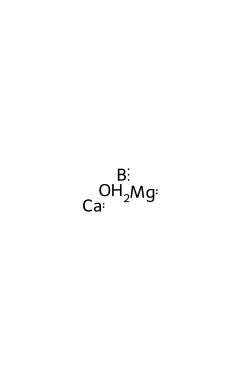 O.[B].[Ca].[Mg]